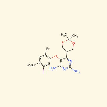 COc1cc(C(C)C)c(Oc2c(N)nc(N)nc2C2COC(C)(C)OC2)cc1I